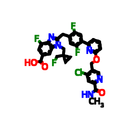 CNC(=O)c1cc(Cl)c(COc2cccc(-c3cc(F)c(Cc4nc5c(F)cc(C(=O)O)cc5n4CC4(CF)CC4)cc3F)n2)cn1